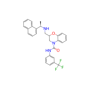 C[C@@H](NCC1CN(C(=O)Nc2cccc(C(F)(F)F)c2)c2ccccc2O1)c1cccc2ccccc12